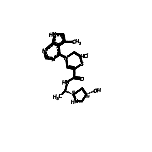 Cc1c[nH]c2ncnc(N3C=C(C(=O)NC(C)[C@@H]4C[C@H](O)CN4)SCC3)c12.Cl